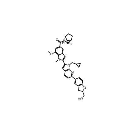 COc1cc(C(=O)N2CC3CCC2[C@@H]3N)cc2nc(-c3cc4ccc(-c5ccc6c(c5)CC(CO)O6)nc4n3CC3CC3)n(C)c12